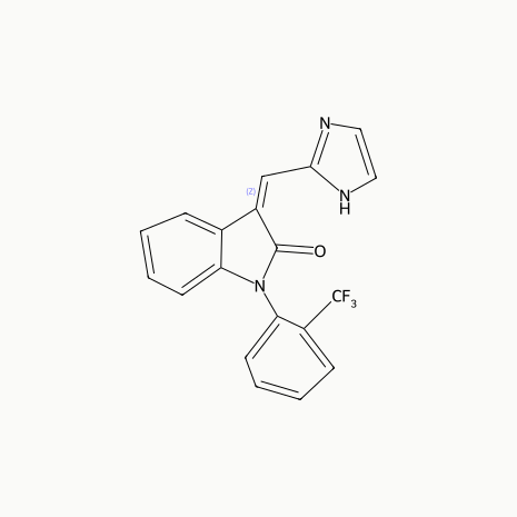 O=C1/C(=C\c2ncc[nH]2)c2ccccc2N1c1ccccc1C(F)(F)F